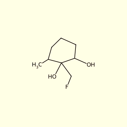 CC1CCCC(O)C1(O)CF